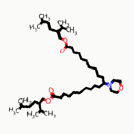 CC(C)CCC(COC(=O)CCCCCCCCCC(CCCCCCCCCC(=O)OCC(CCC(C)C)C(C)C)N1CCOCC1)C(C)C